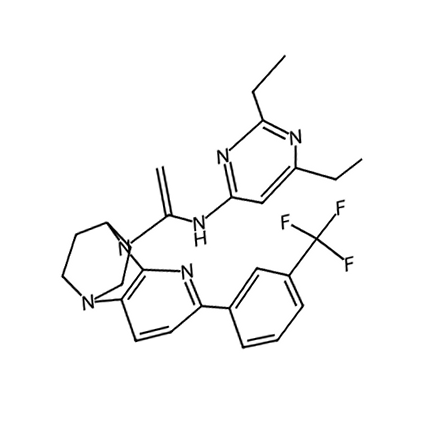 C=C(Nc1cc(CC)nc(CC)n1)N1c2nc(-c3cccc(C(F)(F)F)c3)ccc2N2CCC1CC2